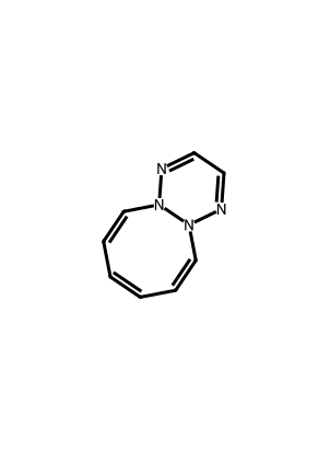 c1cccn2nccnn2cc1